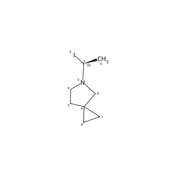 C[C@H](I)N1CCC2(CC2)C1